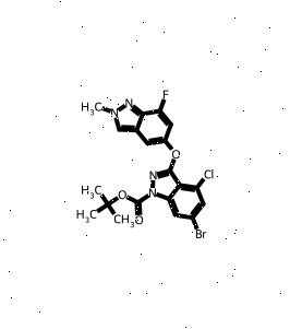 Cn1cc2cc(Oc3nn(C(=O)OC(C)(C)C)c4cc(Br)cc(Cl)c34)cc(F)c2n1